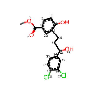 COC(=O)c1ccc(O)c(CCC(O)c2ccc(Cl)c(Cl)c2)c1